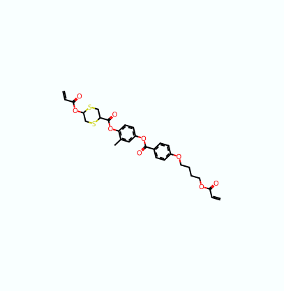 C=CC(=O)OCCCCOc1ccc(C(=O)Oc2ccc(OC(=O)C3CSC(OC(=O)C=C)CS3)c(C)c2)cc1